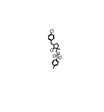 Cc1ccc(S(=O)(=O)OCC2(C)CCC(Cc3ccc(Cl)cc3)C2=O)cc1